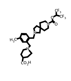 Cc1ccc(CN2CCC3(CCN(C(=O)OC(C(F)(F)F)C(F)(F)F)CC3)C2)c(CN2CCC(C(=O)O)CC2)c1